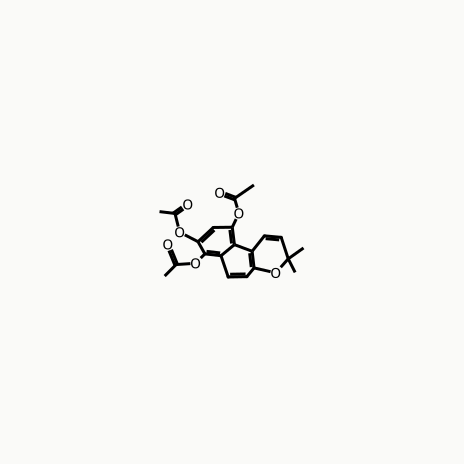 CC(=O)Oc1cc(OC(C)=O)c2c3c(ccc2c1OC(C)=O)OC(C)(C)C=C3